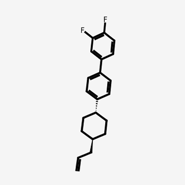 C=CC[C@H]1CC[C@H](c2ccc(-c3ccc(F)c(F)c3)cc2)CC1